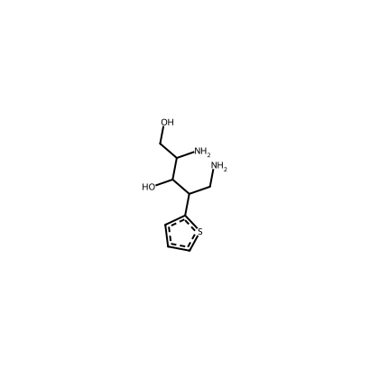 NCC(c1cccs1)C(O)C(N)CO